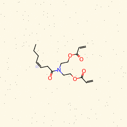 C=CC(=O)OCCN(CCOC(=O)C=C)C(=O)C/C=C\CCC